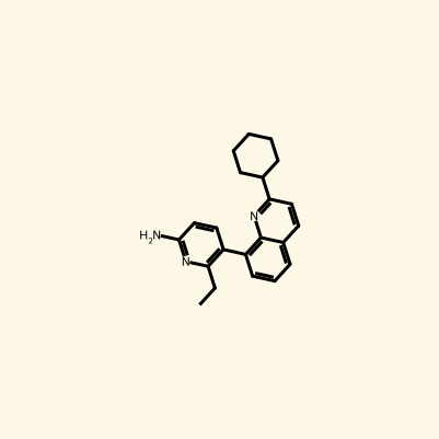 CCc1nc(N)ccc1-c1cccc2ccc(C3CCCCC3)nc12